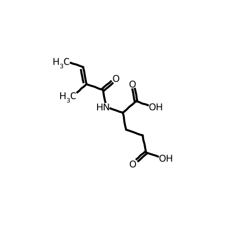 C/C=C(\C)C(=O)NC(CCC(=O)O)C(=O)O